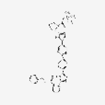 CC(C)(C)OC(=O)N1CCC[C@H]1c1ncc(-c2cnc(-c3ccc(-c4cnc([C@@H]5CCCN5C(=O)OCc5ccccc5)[nH]4)cc3)nc2)[nH]1